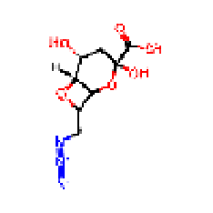 [N-]=[N+]=NC[C@H]1O[C@H]2C1O[C@@](O)(C(=O)O)C[C@H]2O